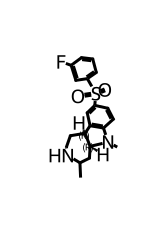 CC1C[C@@H]2[C@H](CCN1)c1cc(S(=O)(=O)c3cccc(F)c3)ccc1N2C